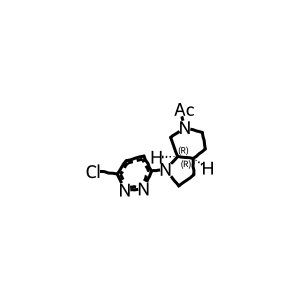 CC(=O)N1CC[C@H]2CCN(c3ccc(Cl)nn3)[C@H]2C1